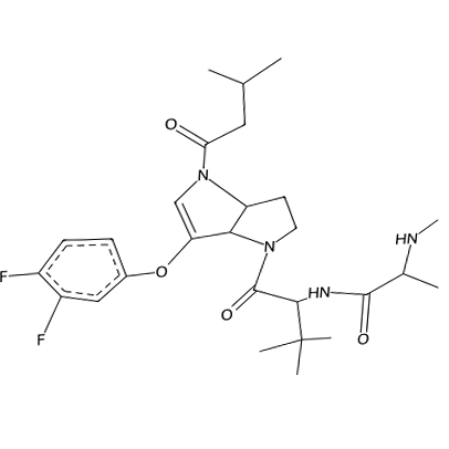 CNC(C)C(=O)NC(C(=O)N1CCC2C1C(Oc1ccc(F)c(F)c1)=CN2C(=O)CC(C)C)C(C)(C)C